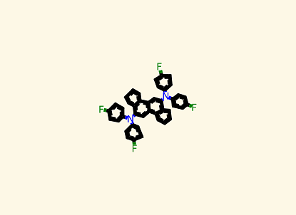 Fc1ccc(N(c2ccc(F)cc2)c2cc3c4ccccc4c(N(c4ccc(F)cc4)c4ccc(F)cc4)cc3c3ccccc23)cc1